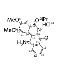 COc1cc2c(OC(C)C)nc(C(=O)c3ccccc3)c(CN)c2cc1OC.Cl